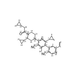 C=Cc1cc(-c2c(C3CC3)nc(N3CCN(C(=O)CC4CC4)C(C4CC4)C3)c(C#N)c2C)c(C#N)cn1